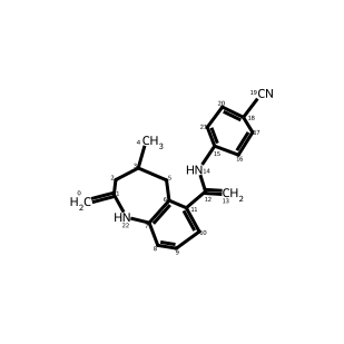 C=C1CC(C)Cc2c(cccc2C(=C)Nc2ccc(C#N)cc2)N1